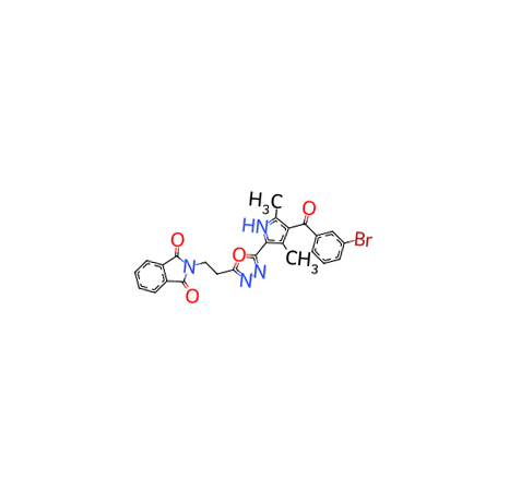 Cc1[nH]c(-c2nnc(CCN3C(=O)c4ccccc4C3=O)o2)c(C)c1C(=O)c1cccc(Br)c1